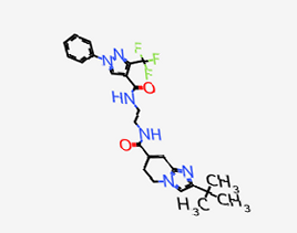 CC(C)(C)c1cn2c(n1)CC(C(=O)NCCNC(=O)c1cn(-c3ccccc3)nc1C(F)(F)F)CC2